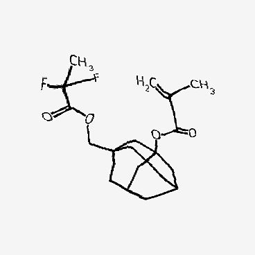 C=C(C)C(=O)OC12CC3CC(CC(COC(=O)C(C)(F)F)(C3)C1)C2